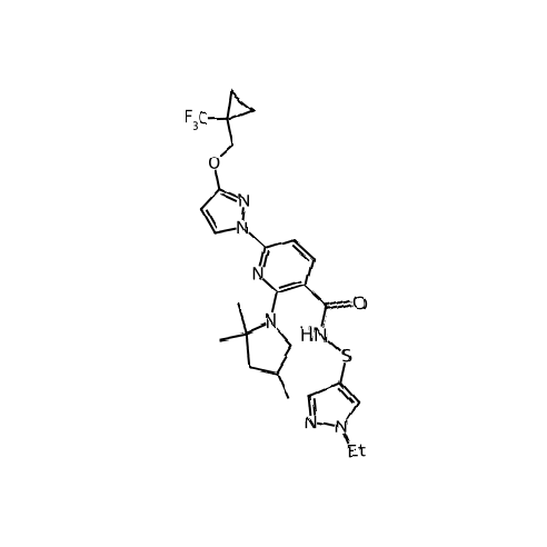 CCn1cc(SNC(=O)c2ccc(-n3ccc(OCC4(C(F)(F)F)CC4)n3)nc2N2CC(C)CC2(C)C)cn1